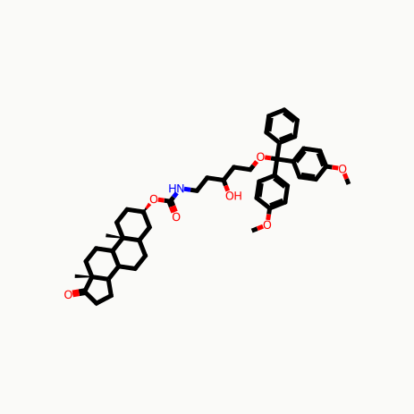 COc1ccc(C(OCCC(O)CCNC(=O)O[C@@H]2CC[C@]3(C)C(CCC4C3CC[C@@]3(C)C(=O)CCC43)C2)(c2ccccc2)c2ccc(OC)cc2)cc1